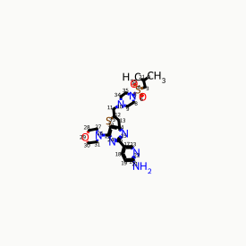 CC(C)CS(=O)(=O)N1CCN(CC2Cc3nc(-c4ccc(N)nc4)nc(N4CCOCC4)c3S2)CC1